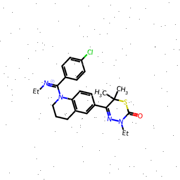 CC/N=C(/c1ccc(Cl)cc1)N1CCCc2cc(C3=NN(CC)C(=O)SC3(C)C)ccc21